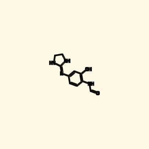 O=CNc1ccc(N=C2NCCN2)cc1O